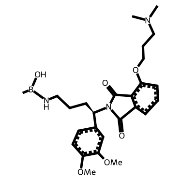 COc1ccc([C@@H](CCCNB(C)O)N2C(=O)c3cccc(OCCCN(C)C)c3C2=O)cc1OC